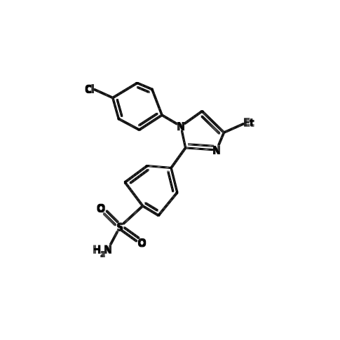 CCc1cn(-c2ccc(Cl)cc2)c(-c2ccc(S(N)(=O)=O)cc2)n1